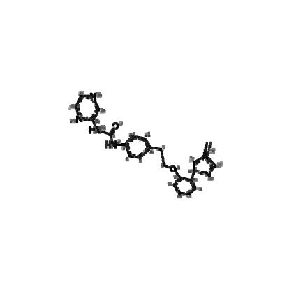 O=C(Nc1ccc(CCOc2ccccc2-c2c[nH]cn2)cc1)Nc1cnccn1